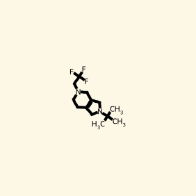 CC(C)(C)N1CC2=C(CN(CC(F)(F)F)CC2)C1